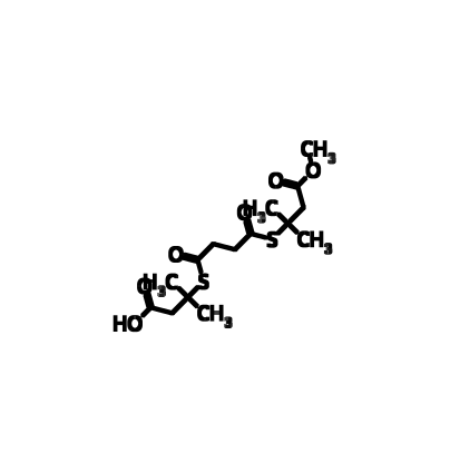 COC(=O)CC(C)(C)SC(=O)CCC(=O)SC(C)(C)CC(=O)O